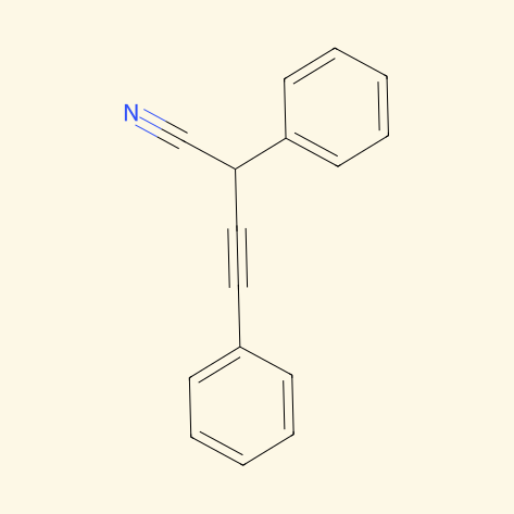 N#CC(C#Cc1ccccc1)c1ccccc1